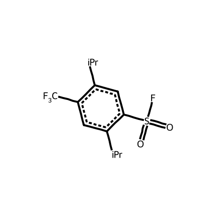 CC(C)c1cc(S(=O)(=O)F)c(C(C)C)cc1C(F)(F)F